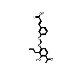 CCCc1c(OCOc2cccc(C=CC(=O)O)c2)ccc(C(C)=O)c1O